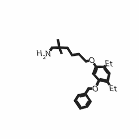 CCc1cc(CC)c(OCc2ccccc2)cc1OCCCCC(C)(C)CN